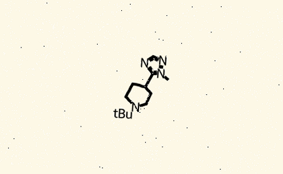 Cn1ncnc1C1CCN(C(C)(C)C)CC1